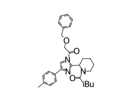 CCC(C)C(=O)N1CCCCC1c1nc(-c2ccc(C)cc2)cn1C(=O)COCc1ccccc1